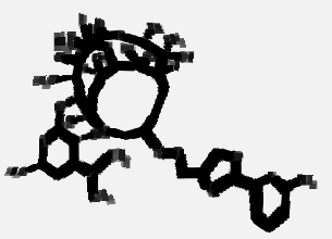 CCC(=O)/N=C1\[C@H](C)C[C@@]2(C)OC/C(=N/OCc3coc(-c4cccc(N)n4)n3)CC[C@H]([C@H]1C)[C@](C)(O)[C@@H](CC)OC(=O)[C@@](C)(F)C(=O)[C@H](C)[C@H]2O[C@@H]1O[C@H](C)C[C@H](N(C)C)[C@H]1O